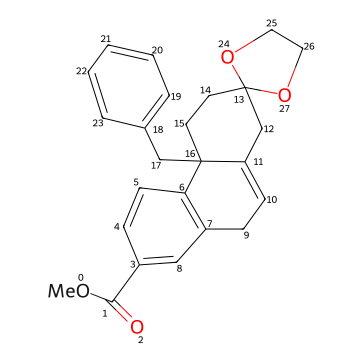 COC(=O)c1ccc2c(c1)CC=C1CC3(CCC12Cc1ccccc1)OCCO3